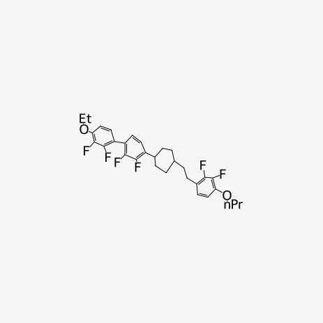 CCCOc1ccc(CCC2CCC(c3ccc(-c4ccc(OCC)c(F)c4F)c(F)c3F)CC2)c(F)c1F